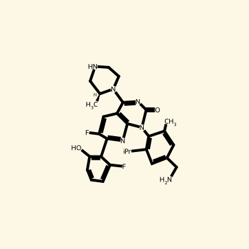 Cc1cc(CN)cc(C(C)C)c1-n1c(=O)nc(N2CCNC[C@@H]2C)c2cc(F)c(-c3c(O)cccc3F)nc21